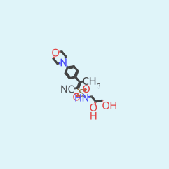 C/C(=C(/C#N)S(=O)(=O)NCC(O)CO)c1ccc(N2CCOCC2)cc1